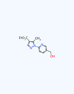 CCOC(=O)c1cnn(-c2ccc(CO)cn2)c1C